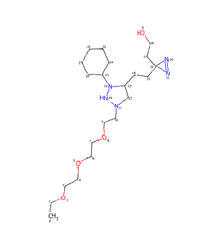 CCOCCOCCOCCN1CC(CCC2(CCO)N=N2)N(C2CCCCC2)N1